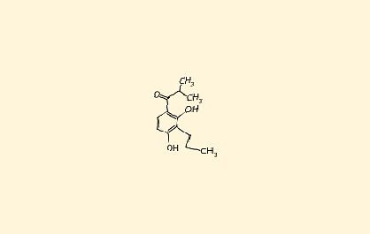 CCCc1c(O)ccc(C(=O)C(C)C)c1O